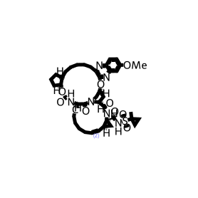 COc1ccc2nc3c(nc2c1)O[C@@H]1C[C@H]2C(=O)N[C@]4(C(=O)NS(=O)(=O)C5(C)CC5)C[C@H]4/C=C\CCCCC[C@H](NC(=O)O[C@@H]4CCC[C@H]4CCCCC3)C(=O)N2C1